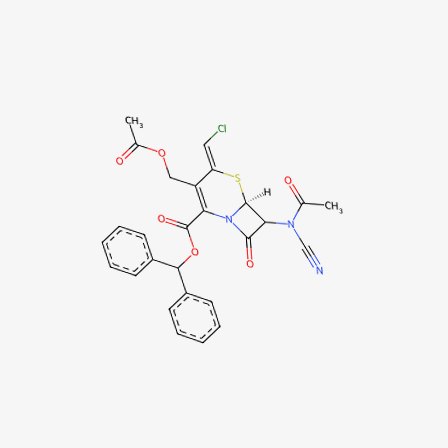 CC(=O)OCC1=C(C(=O)OC(c2ccccc2)c2ccccc2)N2C(=O)C(N(C#N)C(C)=O)[C@@H]2SC1=CCl